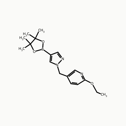 CCOc1ccc(Cn2cc(B3OC(C)(C)C(C)(C)O3)cn2)cn1